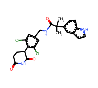 CC(C)(C(=O)NCc1cc(Cl)c(C2CCC(=O)NC2=O)c(Cl)c1)c1ccc2[nH]ccc2c1